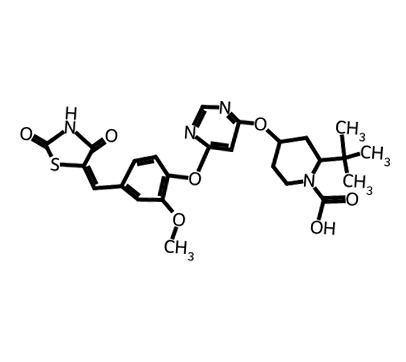 COc1cc(C=C2SC(=O)NC2=O)ccc1Oc1cc(OC2CCN(C(=O)O)C(C(C)(C)C)C2)ncn1